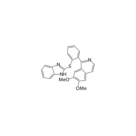 COc1cc2ccnc(-c3ccccc3Sc3nc4ccccc4[nH]3)c2cc1OC